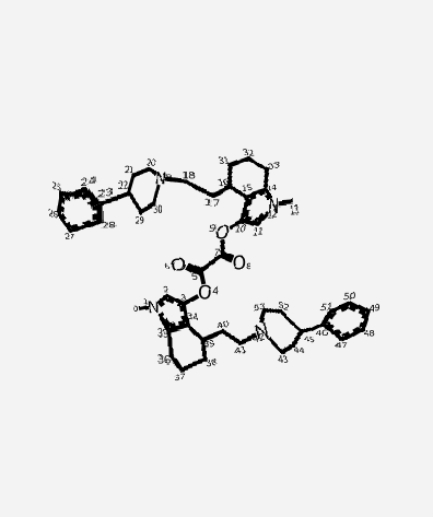 Cn1cc(OC(=O)C(=O)Oc2cn(C)c3c2C(CCN2CCC(c4ccccc4)CC2)CCC3)c2c1CCCC2CCN1CCC(c2ccccc2)CC1